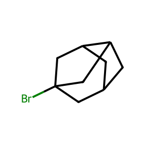 BrC12CC3CC(C1)C(C3)C2